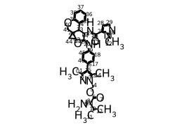 Cc1nn(COC(=O)[C@@H](N)C(C)C)c(C)c1-c1ccc(NC(=O)[C@@H](NC(=O)c2ccnn2C)C2c3ccccc3OCC23CC3)cc1